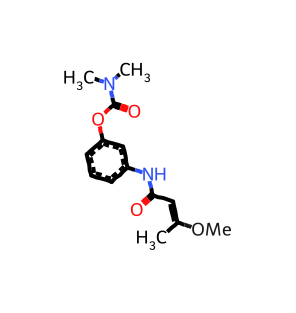 COC(C)=CC(=O)Nc1cccc(OC(=O)N(C)C)c1